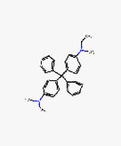 CCN(C)c1ccc(C(c2ccccc2)(c2ccccc2)c2ccc(N(C)C)cc2)cc1